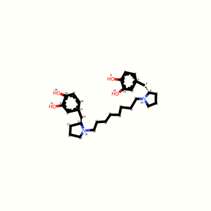 Oc1ccc(C[C@@H]2CCCN2CCCCCCCCN2CCC[C@H]2Cc2ccc(O)c(O)c2)cc1O